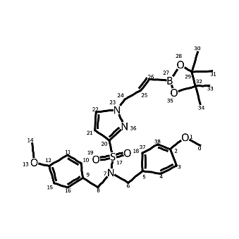 COc1ccc(CN(Cc2ccc(OC)cc2)S(=O)(=O)c2ccn(C/C=C/B3OC(C)(C)C(C)(C)O3)n2)cc1